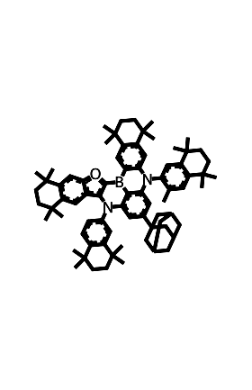 Cc1cc2c(cc1N1c3cc4c(cc3B3c5oc6cc7c(cc6c5N(c5ccc6c(c5)C(C)(C)CCC6(C)C)c5cc(C68CC9CC(CC(C9)C6)C8)cc1c53)C(C)(C)CCC7(C)C)C(C)(C)CCC4(C)C)C(C)(C)CCC2(C)C